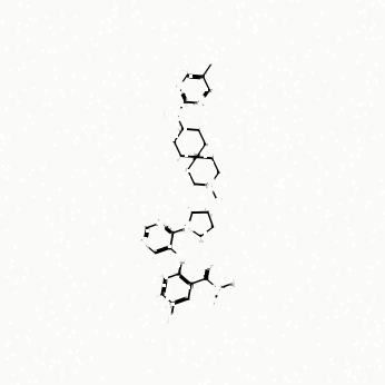 Cc1cnc(NC2CCC3(CC2)CCN(C[C@@H]2CCN(c4ncncc4Oc4ccc(F)cc4C(=O)N(C(C)C)C(C)C)C2)CC3)nc1